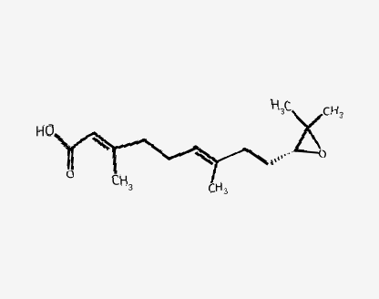 C/C(=C\C(=O)O)CC/C=C(\C)CC[C@H]1OC1(C)C